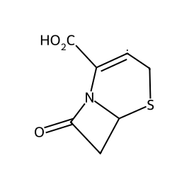 O=C(O)C1=[C]CSC2CC(=O)N12